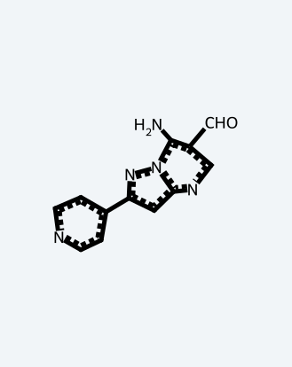 Nc1c(C=O)cnc2cc(-c3ccncc3)nn12